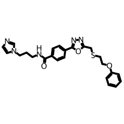 O=C(NCCCn1ccnc1)c1ccc(-c2nnc(CSCCOc3ccccc3)o2)cc1